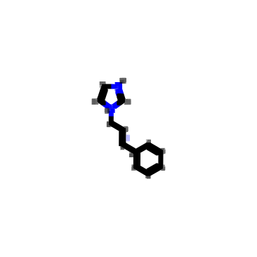 C(=C\c1ccccc1)/Cn1ccnc1